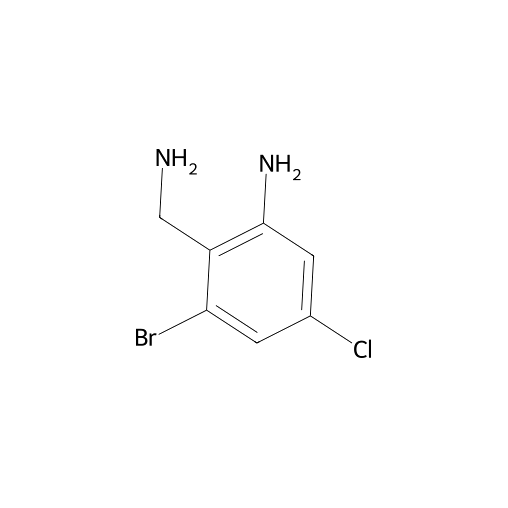 NCc1c(N)cc(Cl)cc1Br